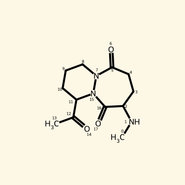 CNC1CCC(=O)N2CCCC(C(C)=O)N2C1=O